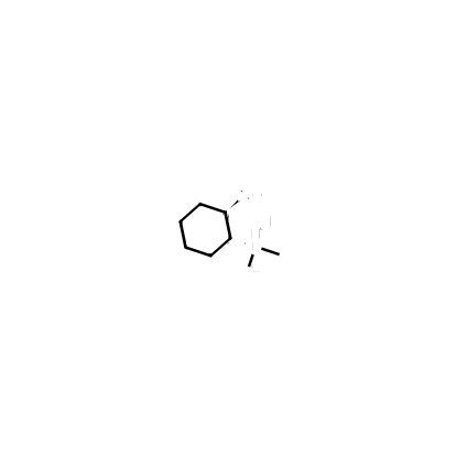 CCCC[PH](C)(CCCC)[C@@H]1CCCC[C@H]1N=O